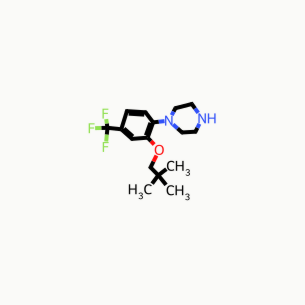 CC(C)(C)COc1cc(C(F)(F)F)ccc1N1CCNCC1